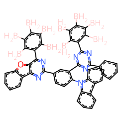 Bc1c(B)c(B)c(-c2nc(-c3ccccc3)nc(-c3cc(-c4nc(-c5c(B)c(B)c(B)c(B)c5B)c5oc6ccccc6c5n4)ccc3-n3c4ccccc4c4ccccc43)n2)c(B)c1B